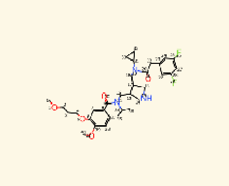 COCCCOc1cc(C(=O)N(CC2CNCC2CN(C(=O)Cc2cc(F)cc(F)c2)C2CC2)C(C)C)ccc1OC